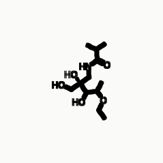 CCOC(C)C(O)[C@](O)(CO)CNC(=O)C(C)C